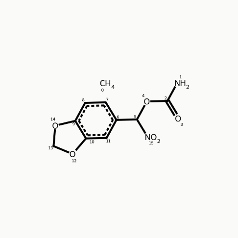 C.NC(=O)OC(c1ccc2c(c1)OCO2)[N+](=O)[O-]